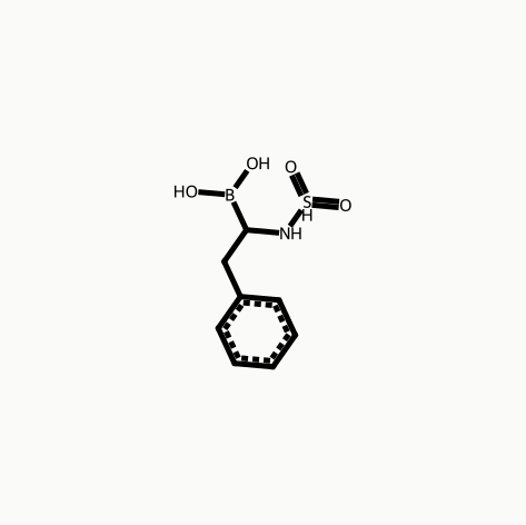 O=[SH](=O)NC(Cc1ccccc1)B(O)O